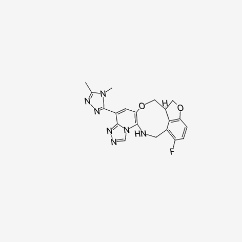 Cc1nnc(-c2cc3c(n4cnnc24)NCc2c(F)ccc4c2[C@H](CO4)CO3)n1C